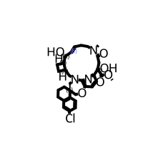 COC(=O)[C@@]1(O)CC(=O)N(C)CC/C=C/[C@H](O)[C@@H]2CC[C@H]2CN2C[C@@]3(CCCc4cc(Cl)ccc43)COc3ccc1nc32